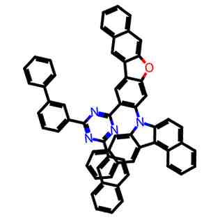 c1ccc(-c2cccc(-c3nc(-c4ccc5ccccc5c4)nc(-c4cc5c(cc4-n4c6cc7ccccc7cc6c6c7ccccc7ccc64)oc4cc6ccccc6cc45)n3)c2)cc1